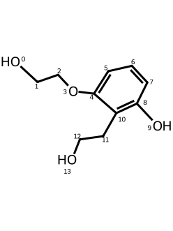 OCCOc1cccc(O)c1CCO